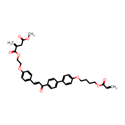 C=CC(=O)OCCCCOc1ccc(-c2ccc(C(=O)/C=C/c3ccc(OCCOC(=O)C(=C)CC(=O)OC)cc3)cc2)cc1